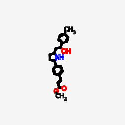 COC(=O)/C=C/c1ccc(C2CCC(CC(O)c3ccc(C)cc3)N2)cc1